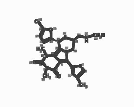 Cc1csc(-c2c3c(=O)n(C)c(=O)n(C)c3c3n2C[C@H](CNC(=O)O)S[C@H]3c2ccc(Cl)o2)n1